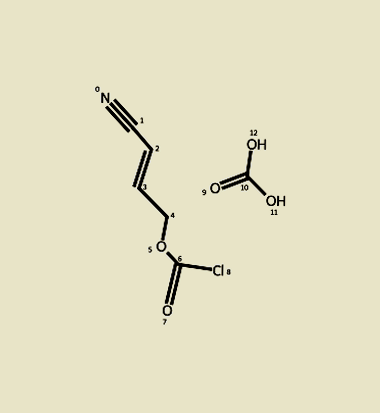 N#CC=CCOC(=O)Cl.O=C(O)O